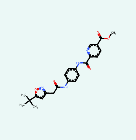 COC(=O)c1ccc(C(=O)Nc2ccc(NC(=O)Cc3cc(C(C)(C)C)on3)cc2)nc1